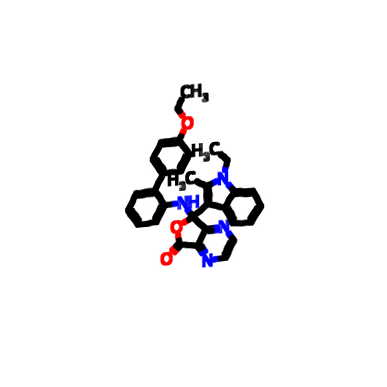 CCOc1ccc(-c2ccccc2NC2(c3c(C)n(CC)c4ccccc34)OC(=O)c3nccnc32)cc1